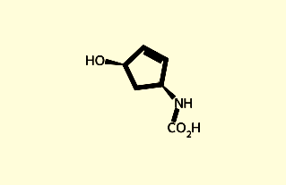 O=C(O)N[C@@H]1C=C[C@H](O)C1